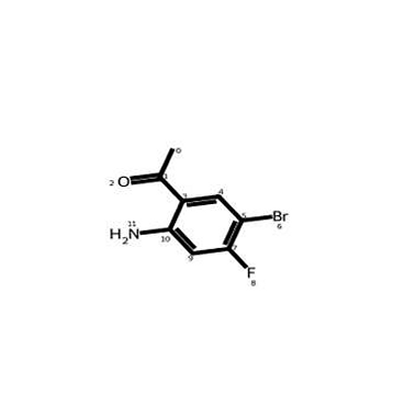 CC(=O)c1cc(Br)c(F)cc1N